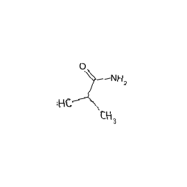 [CH]C(C)C(N)=O